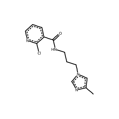 Cc1cn(CCCNC(=O)c2cccnc2Cl)cn1